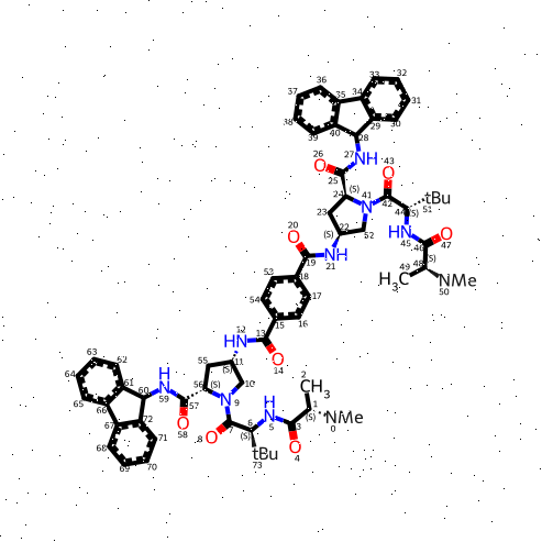 CN[C@@H](C)C(=O)N[C@H](C(=O)N1C[C@@H](NC(=O)c2ccc(C(=O)N[C@H]3C[C@@H](C(=O)NC4c5ccccc5-c5ccccc54)N(C(=O)[C@@H](NC(=O)[C@H](C)NC)C(C)(C)C)C3)cc2)C[C@H]1C(=O)NC1c2ccccc2-c2ccccc21)C(C)(C)C